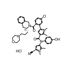 Cc1c(N(C(=O)c2cc(-c3cc(Cl)ccc3C(=O)N3Cc4ccccc4C[C@H]3CCCN3CCOCC3)n(C)c2C)c2ccc(O)cc2)cc(C#N)n1C.Cl